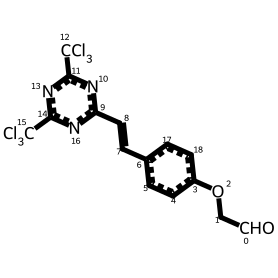 O=CCOc1ccc(C=Cc2nc(C(Cl)(Cl)Cl)nc(C(Cl)(Cl)Cl)n2)cc1